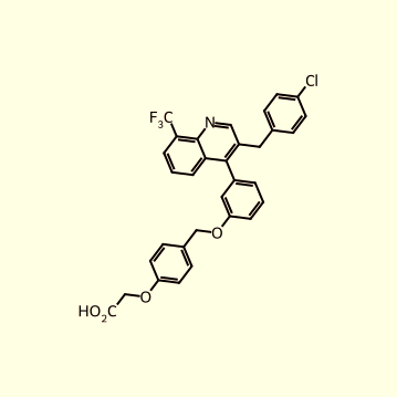 O=C(O)COc1ccc(COc2cccc(-c3c(Cc4ccc(Cl)cc4)cnc4c(C(F)(F)F)cccc34)c2)cc1